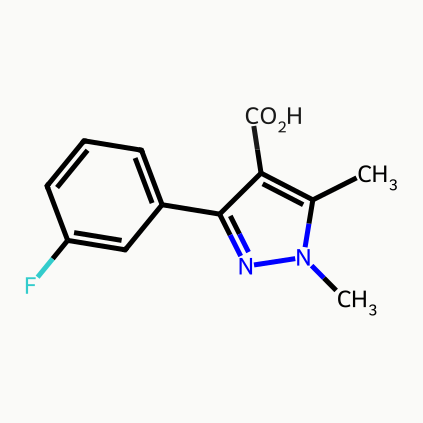 Cc1c(C(=O)O)c(-c2cccc(F)c2)nn1C